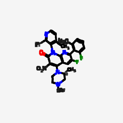 COc1cccc(F)c1-c1nc2c(cc1F)c(N1CCN(C(C)(C)C)C[C@H]1C)c([N+](=O)[O-])c(=O)n2-c1c(C)ccnc1C(C)C